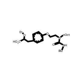 CCCCCCCCN(CCOc1ccc(CC(OCC)C(=O)O)cc1)C(=O)NC(C)CC